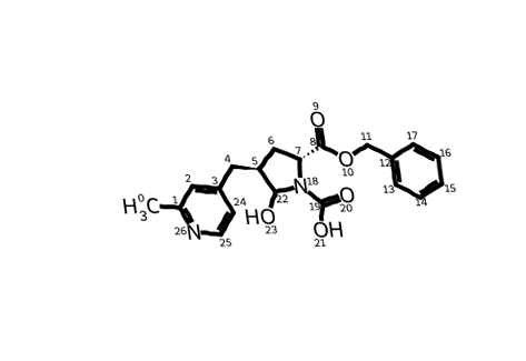 Cc1cc(C[C@H]2C[C@H](C(=O)OCc3ccccc3)N(C(=O)O)C2O)ccn1